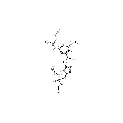 CCOP(=O)(Cc1csc(NC(=O)c2cc(OC)cc(O[C@@H](C)COC)c2)n1)OCC